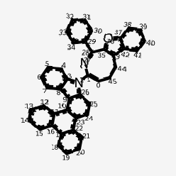 C1=C(n2c3ccccc3c3c4c5ccccc5c5ccccc5c4ccc32)\N=C(\c2ccccc2)c2oc3ccccc3c2CC/1